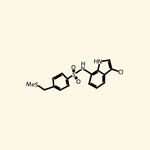 CSCc1ccc(S(=O)(=O)Nc2cccc3c(Cl)c[nH]c23)cc1